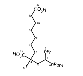 CCCCCC(CCC)CC(I)(CCCCCCC(=O)O)C(=O)O